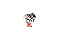 C[P+](C)(C)Cc1ccccc1.C[P+](C)(C)Cc1ccccc1.O=P([O-])([O-])[O-].[H+]